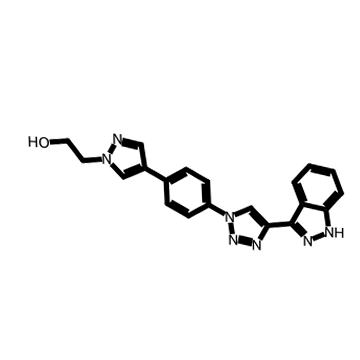 OCCn1cc(-c2ccc(-n3cc(-c4n[nH]c5ccccc45)nn3)cc2)cn1